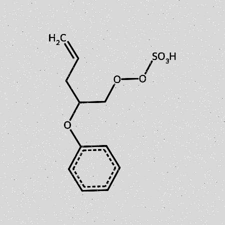 C=CCC(COOS(=O)(=O)O)Oc1ccccc1